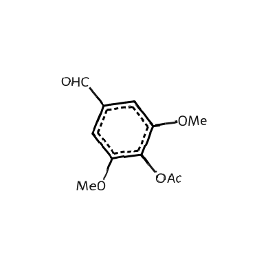 COc1cc(C=O)cc(OC)c1OC(C)=O